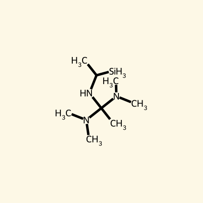 CC([SiH3])NC(C)(N(C)C)N(C)C